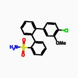 COc1cc(-c2ccccc2-c2ccccc2S(N)(=O)=O)ccc1Cl